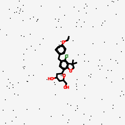 CCOc1ccc(Cc2cc(C3CC(O)CC(CO)O3)c3c(c2Cl)C(C)(C)CO3)cc1